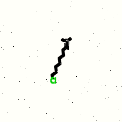 C[SiH](C)CCCCCCCCCl